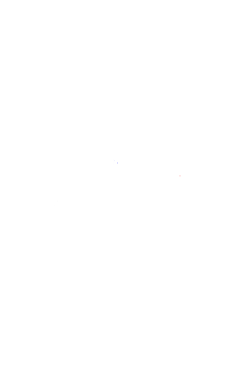 COCC(N)CS(=O)(=O)O